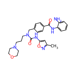 Cc1cc(NC(=O)N(CCCN2CCOCC2)Cc2ccc(C(=O)Nc3ccccc3N)cc2)on1